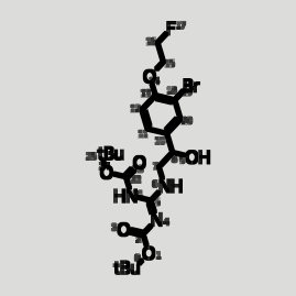 CC(C)(C)OC(=O)/N=C(/NCC(O)c1ccc(OCCF)c(Br)c1)NC(=O)OC(C)(C)C